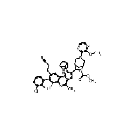 COC(=O)N1C2CC(CN(c3nccnc3OC)C2)C1c1cc2c(C)nc3c(F)c(-c4cccc(Cl)c4Cl)c(CCC#N)cc3c2n1C1C2CNC1C2